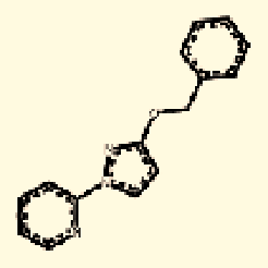 c1ccc(COc2ccn(-c3ccccn3)n2)cc1